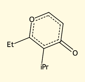 CCc1occc(=O)c1C(C)C